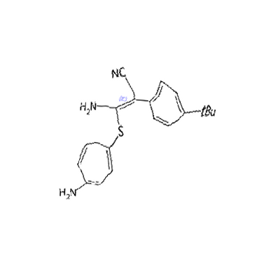 CC(C)(C)c1ccc(/C(C#N)=C(/N)Sc2ccc(N)cc2)cc1